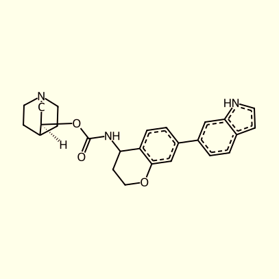 O=C(NC1CCOc2cc(-c3ccc4cc[nH]c4c3)ccc21)O[C@@H]1CN2CCC1CC2